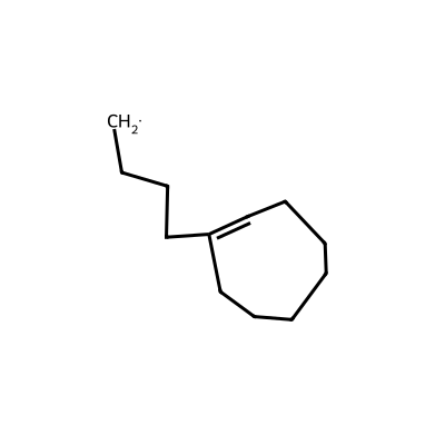 [CH2]CCCC1=CCCCCCC1